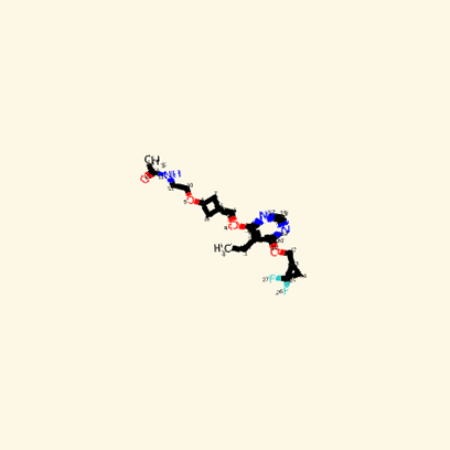 CCc1c(OCC2CC(OCCNC(C)=O)C2)ncnc1OCC1CC1(F)F